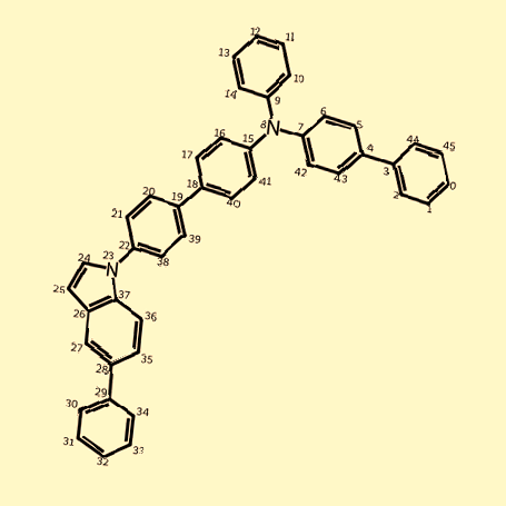 c1ccc(-c2ccc(N(c3ccccc3)c3ccc(-c4ccc(-n5ccc6cc(-c7ccccc7)ccc65)cc4)cc3)cc2)cc1